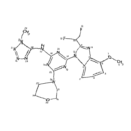 COc1cccc2c1nc(C(F)F)n2-c1nc(Nc2nnnn2C)nc(N2CCOCC2)n1